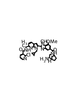 COc1cc(C(=O)N2C[C@H](N)[C@@H]3CC[C@H]2C3)cc2nc(-c3cc4ccc([C@@H](C)NC(=O)c5cccnc5Cl)nc4n3CC3CC3)n(C)c12